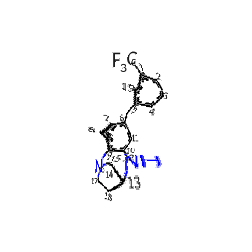 FC(F)(F)c1cccc(-c2ccc3c(c2)NC2CCN3CC2)c1